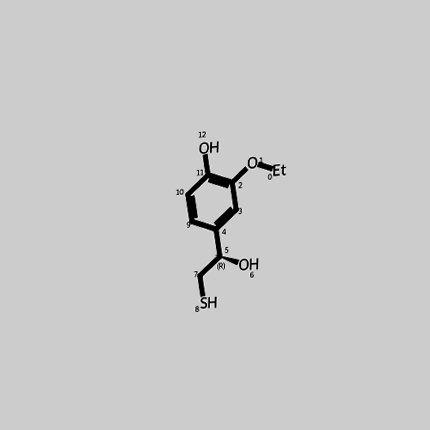 CCOc1cc([C@@H](O)CS)ccc1O